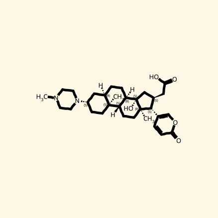 CN1CCN([C@H]2CC[C@@]3(C)[C@H](CC[C@@H]4[C@@H]3CC[C@]3(C)[C@@H](c5ccc(=O)oc5)[C@H](CC(=O)O)C[C@]43O)C2)CC1